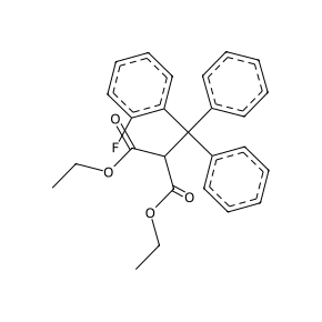 CCOC(=O)C(C(=O)OCC)C(c1ccccc1)(c1ccccc1)c1ccccc1F